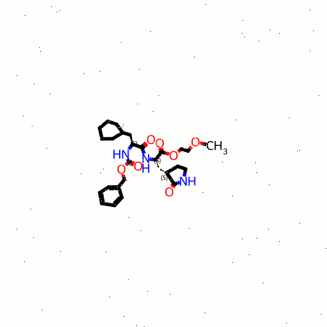 COCCOC(=O)[C@H](C[C@@H]1CCNC1=O)NC(=O)[C@H](CC1CCCCC1)NC(=O)OCc1ccccc1